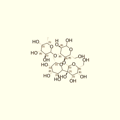 C[C@@H]1OC(O[C@H]2[C@H](O[C@@H]3O[C@H](CO)[C@H](O)[C@H](O)[C@]3(O)C3O[C@@H](C)[C@@H](O)[C@@H](O)[C@@H]3O)[C@@H](CO)OC(O)[C@@H]2O)[C@@H](O)[C@H](O)[C@@H]1O